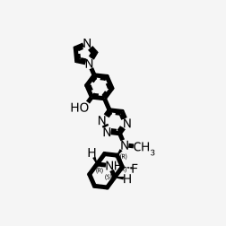 CN(c1ncc(-c2ccc(-n3ccnc3)cc2O)nn1)[C@@H]1C[C@H]2CCC[C@H](N2)[C@H]1F